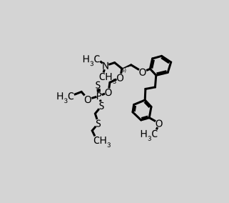 CCOP(=S)(OCO[C@H](COc1ccccc1CCc1cccc(OC)c1)CN(C)C)SCSCC